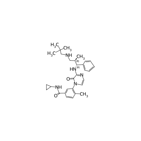 Cc1ccc(C(=O)NC2CC2)cc1-n1ccnc(N[C@@H](c2ccccc2)[C@H](C)CNCC(C)(C)C)c1=O